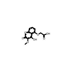 COc1c(O)c2c(OCC(=O)O)cccc2oc1=O